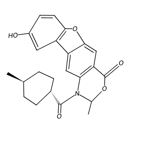 CC1OC(=O)c2cc3oc4ccc(O)cc4c3cc2N1C(=O)[C@H]1CC[C@H](C)CC1